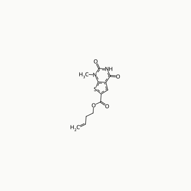 C=CCCOC(=O)c1cc2c(=O)[nH]c(=O)n(C)c2s1